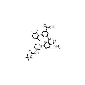 Cc1cccc(C)c1-c1cc(Nc2nc(N3CCC[C@H](NC(=O)OC(C)(C)C)C3)ncc2C(N)=O)cc(C(=O)O)c1